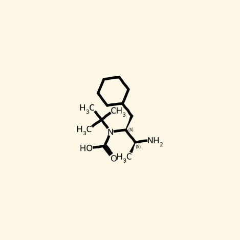 C[C@H](N)[C@H](CC1CCCCC1)N(C(=O)O)C(C)(C)C